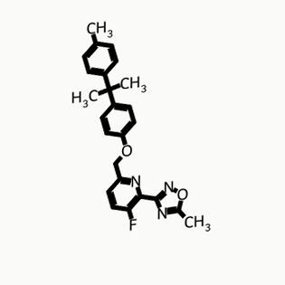 Cc1ccc(C(C)(C)c2ccc(OCc3ccc(F)c(-c4noc(C)n4)n3)cc2)cc1